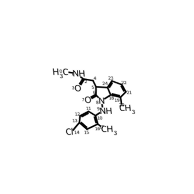 CNC(=O)CC1C(=O)N(Nc2ccc(Cl)cc2C)c2c(C)cccc21